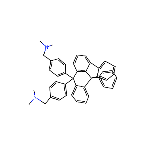 CN(C)Cc1ccc(C2(c3ccc(CN(C)C)cc3)c3ccccc3C3(c4ccccc4)c4ccccc4-c4cccc2c43)cc1